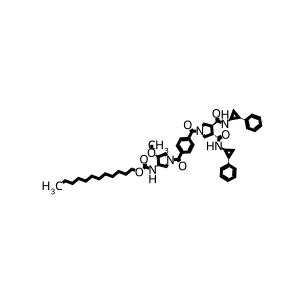 CCCCCCCCCCCCOC(=O)N[C@H]1CN(C(=O)c2ccc(C(=O)N3C[C@@H](C(=O)N[C@H]4C[C@@H]4c4ccccc4)[C@H](C(=O)N[C@H]4C[C@@H]4c4ccccc4)C3)cc2)C[C@@H]1OC